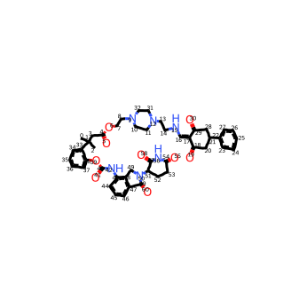 CC(C)(CC(=O)OCCN1CCN(CCNC=C2C(=O)CC(c3ccccc3)CC2=O)CC1)c1ccccc1OC(=O)Nc1cccc2c1CN(C1CCC(=O)NC1=O)C2=O